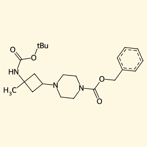 CC1(NC(=O)OC(C)(C)C)CC(N2CCN(C(=O)OCc3ccccc3)CC2)C1